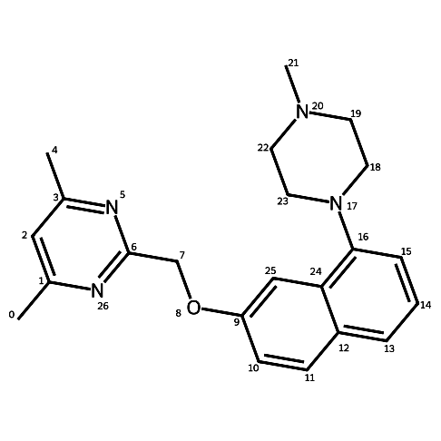 Cc1cc(C)nc(COc2ccc3cccc(N4CCN(C)CC4)c3c2)n1